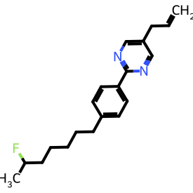 C=CCc1cnc(-c2ccc(CCCCCC(C)F)cc2)nc1